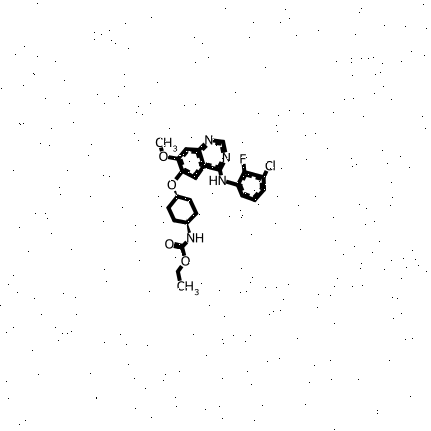 CCOC(=O)N[C@H]1CC[C@H](Oc2cc3c(Nc4cccc(Cl)c4F)ncnc3cc2OC)CC1